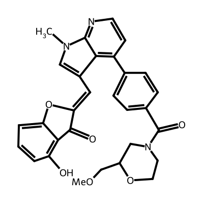 COCC1CN(C(=O)c2ccc(-c3ccnc4c3c(C=C3Oc5cccc(O)c5C3=O)cn4C)cc2)CCO1